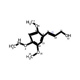 CNOc1cc(OC)c(/C=C/CO)cc1OC